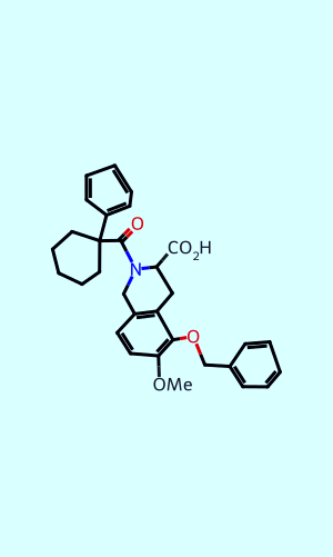 COc1ccc2c(c1OCc1ccccc1)CC(C(=O)O)N(C(=O)C1(c3ccccc3)CCCCC1)C2